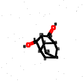 O=C1[C]2CC3CC(C2)C(=O)C1C3